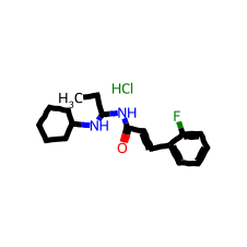 CCC(NC(=O)C=Cc1ccccc1F)NC1CCCCC1.Cl